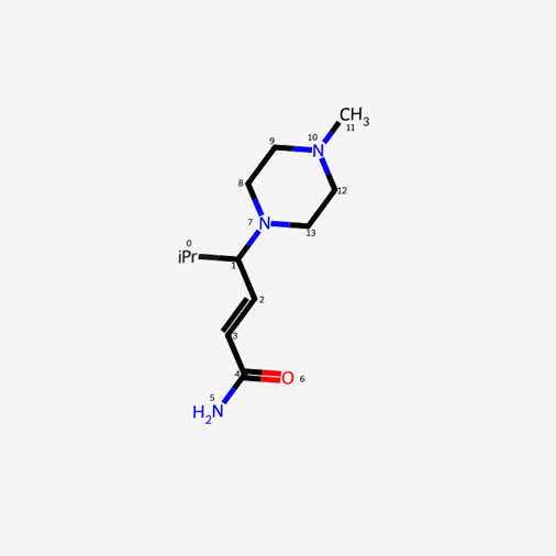 CC(C)C(C=CC(N)=O)N1CCN(C)CC1